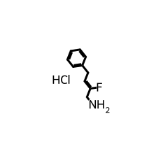 Cl.NCC(F)=CCc1ccccc1